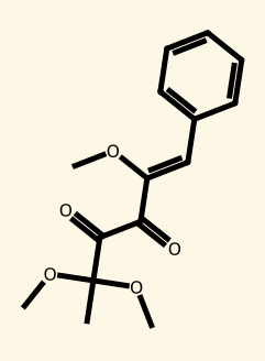 COC(=Cc1ccccc1)C(=O)C(=O)C(C)(OC)OC